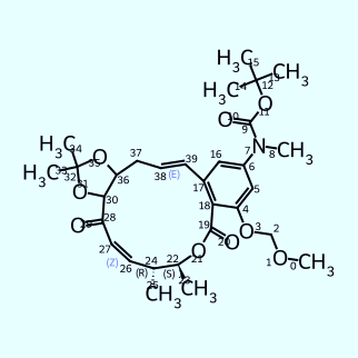 COCOc1cc(N(C)C(=O)OC(C)(C)C)cc2c1C(=O)O[C@@H](C)[C@H](C)/C=C\C(=O)C1OC(C)(C)OC1C/C=C/2